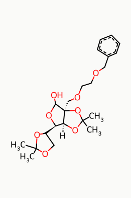 CC1(C)OCC([C@H]2OC(O)[C@@]3(COCCOCc4ccccc4)OC(C)(C)O[C@@H]23)O1